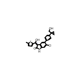 Cc1ccc(/C(O)=C2\C(=O)Nc3cc(Cl)c(-c4ccc(C5(CO)CC5)cc4)cc32)s1